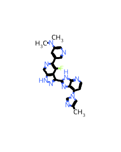 Cc1cn(-c2ccnc3[nH]c(-c4n[nH]c5cnc(-c6cncc(N(C)C)c6)c(F)c45)nc23)cn1